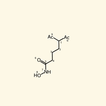 CC(=O)C(CCCC(=O)NO)C(C)=O